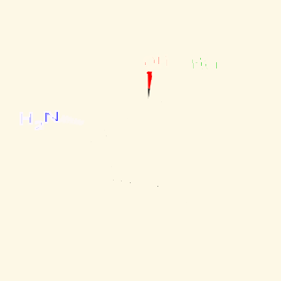 Cl.N[C@H]1Cc2ccccc2[C@@H]1O